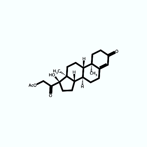 CC(=O)OCC(=O)[C@@]1(O)CC[C@H]2[C@@H]3CCC4=CC(=O)CC[C@]4(C)[C@H]3CC[C@@]21C